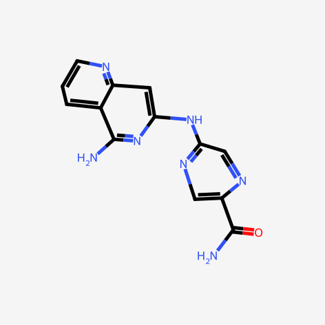 NC(=O)c1cnc(Nc2cc3ncccc3c(N)n2)cn1